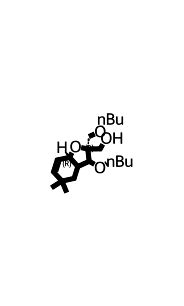 CCCCOC[C@@]1(CO)O[C@@H]2C=CC(C)(C)CC2C1OCCCC